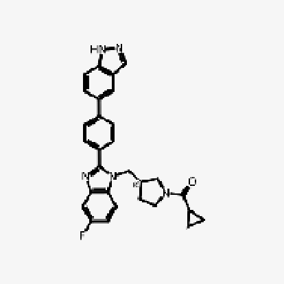 O=C(C1CC1)N1CC[C@@H](Cn2c(-c3ccc(-c4ccc5[nH]ncc5c4)cc3)nc3cc(F)ccc32)C1